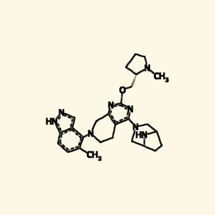 Cc1ccc2[nH]ncc2c1N1CCc2c(nc(OC[C@@H]3CCCN3C)nc2N2CC3CCC(C2)N3)C1